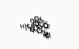 Cc1ccc([C@H]2CC[C@@H](Cn3nccn3)n3c(-c4ccccc4)c4c(=O)n(C)c(=O)n(C)c4c32)o1